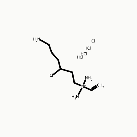 C=C[N+](N)(N)CCC(Cl)CCCN.Cl.Cl.Cl.[Cl-]